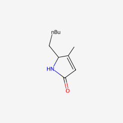 CCCCCC1NC(=O)C=C1C